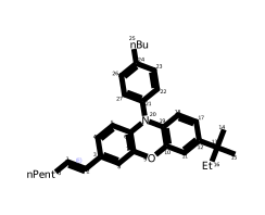 CCCCC/C=C/c1ccc2c(c1)Oc1cc(C(C)(C)CC)ccc1N2c1ccc(CCCC)cc1